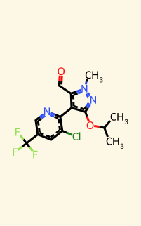 CC(C)Oc1nn(C)c(C=O)c1-c1ncc(C(F)(F)F)cc1Cl